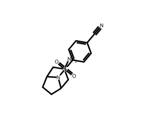 N#Cc1ccc(S(=O)(=O)N2C3CCC2CN(N)C3)cc1